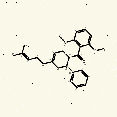 COc1cccc(OC)c1C(=O)[C@@H]1CC=C(CCC=C(C)C)C[C@H]1c1ccccc1